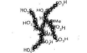 COc1cc(N=Nc2ccc(N=Nc3ccc(S(=O)(=O)O)cc3)cc2S(=O)(=O)O)c(C)cc1Nc1nc(Nc2ccc(N=Nc3ccc(N=Nc4ccc(S(=O)(=O)O)cc4)cc3S(=O)(=O)O)c(C)c2)nc(N2CCN(c3nc(Nc4ccc(N=Nc5ccc(N=Nc6ccc(S(=O)(=O)O)cc6)cc5S(=O)(=O)O)c(C)c4)nc(Nc4cc(C)c(N=Nc5ccc(N=Nc6ccc(S(=O)(=O)O)cc6)cc5S(=O)(=O)O)cc4OC)n3)CC2)n1